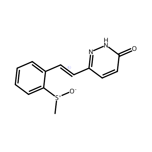 C[S+]([O-])c1ccccc1/C=C/c1ccc(=O)[nH]n1